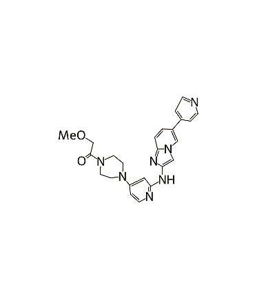 COCC(=O)N1CCN(c2ccnc(Nc3cn4cc(-c5ccncc5)ccc4n3)c2)CC1